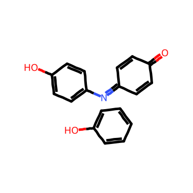 O=C1C=CC(=Nc2ccc(O)cc2)C=C1.Oc1ccccc1